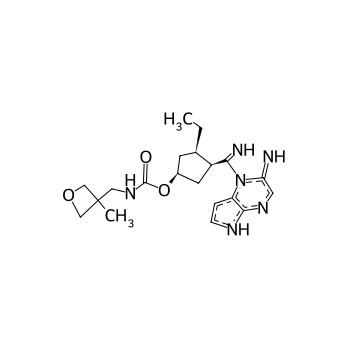 CC[C@@H]1C[C@H](OC(=O)NCC2(C)COC2)C[C@@H]1C(=N)n1c(=N)cnc2[nH]ccc21